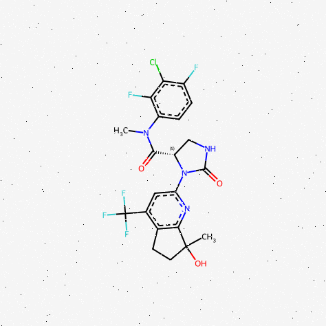 CN(C(=O)[C@@H]1CNC(=O)N1c1cc(C(F)(F)F)c2c(n1)C(C)(O)CC2)c1ccc(F)c(Cl)c1F